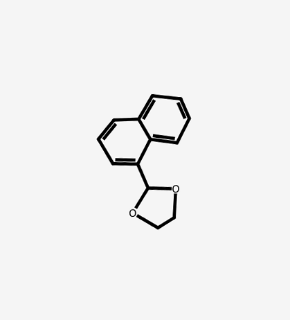 c1ccc2c(C3OCCO3)cccc2c1